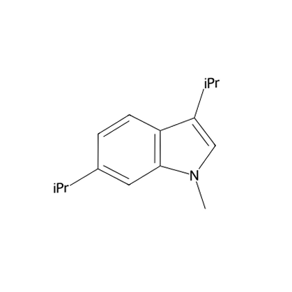 CC(C)c1ccc2c(C(C)C)cn(C)c2c1